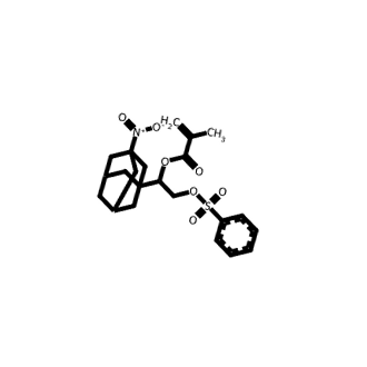 C=C(C)C(=O)OC(COS(=O)(=O)c1ccccc1)C12CC3CC(C1)CC([N+](=O)[O-])(C3)C2